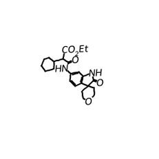 CCOC(=O)C(C(=O)Nc1ccc2c(c1)NC(=O)C21CCOCC1)C1CCCCC1